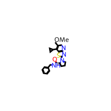 COCc1cnc2nc(N3CCC[C@@H]3C(=O)NCc3ccccc3)sc2c1C1CC1